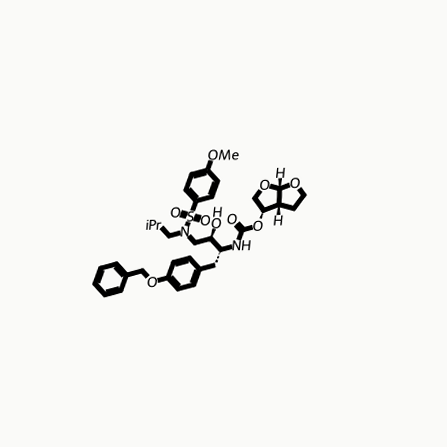 COc1ccc(S(=O)(=O)N(CC(C)C)C[C@@H](O)[C@@H](Cc2ccc(OCc3ccccc3)cc2)NC(=O)O[C@@H]2CO[C@@H]3OCC[C@@H]32)cc1